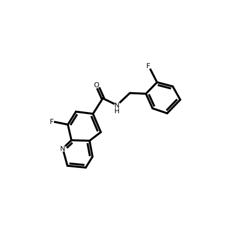 O=C(NCc1ccccc1F)c1cc(F)c2ncccc2c1